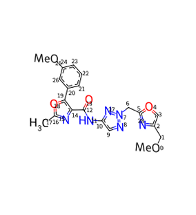 COCc1coc(Cn2ncc(NC(=O)c3nc(C)oc3-c3cccc(OC)c3)n2)n1